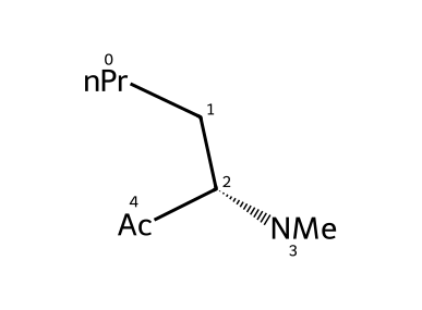 CCCC[C@H](NC)C(C)=O